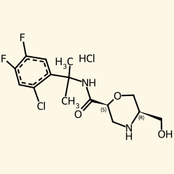 CC(C)(NC(=O)[C@@H]1CN[C@H](CO)CO1)c1cc(F)c(F)cc1Cl.Cl